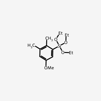 CCO[Si](OCC)(OCC)c1cc(OC)cc(C)c1C